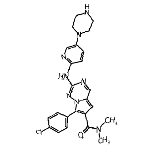 CN(C)C(=O)c1cc2cnc(Nc3ccc(N4CCNCC4)cn3)nn2c1-c1ccc(Cl)cc1